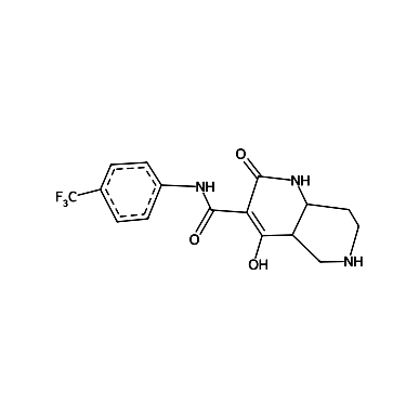 O=C(Nc1ccc(C(F)(F)F)cc1)C1=C(O)C2CNCCC2NC1=O